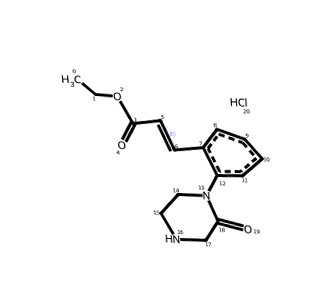 CCOC(=O)/C=C/c1ccccc1N1CCNCC1=O.Cl